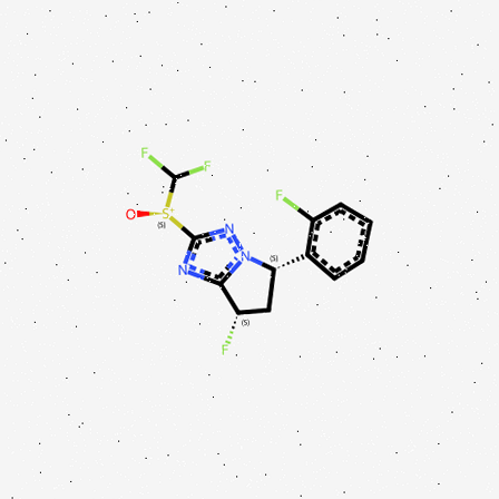 [O-][S@+](c1nc2n(n1)[C@H](c1ccccc1F)C[C@@H]2F)C(F)F